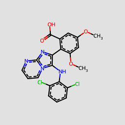 COc1cc(OC)c(-c2nc3ncccn3c2Nc2c(Cl)cccc2Cl)c(C(=O)O)c1